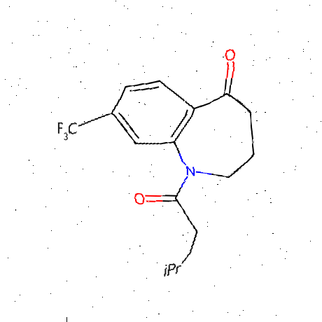 CC(C)CC(=O)N1CCCC(=O)c2ccc(C(F)(F)F)cc21